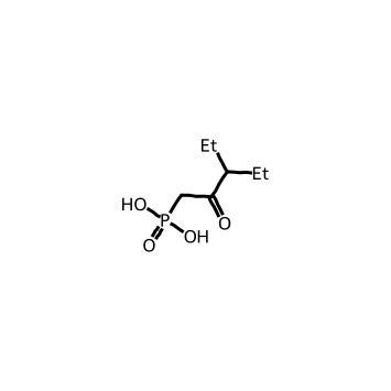 CCC(CC)C(=O)CP(=O)(O)O